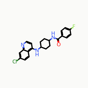 O=C(NC1CCC(Nc2ccnc3cc(Cl)ccc23)CC1)c1ccc(F)cc1